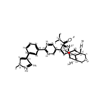 CN(C)C(=O)OC1C[C@@H]2COC[C@@H](C1)C2n1cc(-c2cnc(-c3cccc(-c4cnn(C)c4)c3)nc2)cn1